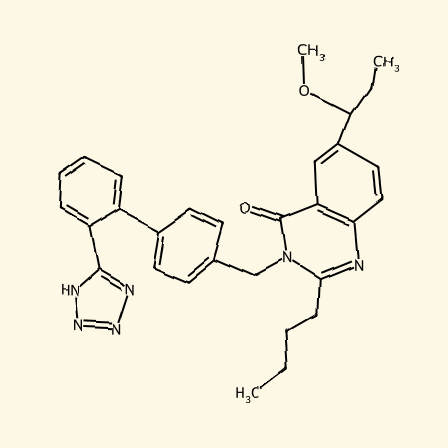 CCCCc1nc2ccc(C(CC)OC)cc2c(=O)n1Cc1ccc(-c2ccccc2-c2nnn[nH]2)cc1